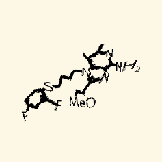 COCCc1nc2c(N)nc(C)c(C)c2n1CCCCSc1ccc(F)cc1F